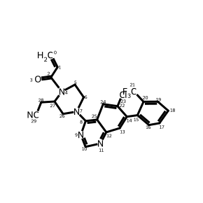 C=CC(=O)N1CCN(c2ncnc3cc(-c4ccccc4C(F)(F)F)c(Cl)cc23)CC1CC#N